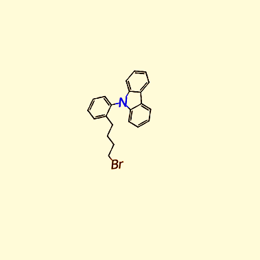 BrCCCCc1ccccc1-n1c2ccccc2c2ccccc21